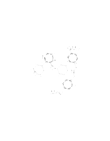 COc1ccc(CN(Cc2ccc(OC)cc2)[C@H]2CC[C@H](Oc3nccnc3C3CCOCC3)CC2)cc1